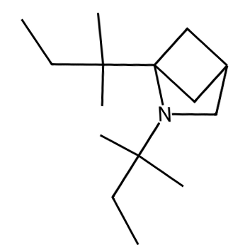 CCC(C)(C)N1CC2CC1(C(C)(C)CC)C2